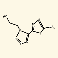 OCCn1nnnc1-c1nnc(C(F)(F)F)s1